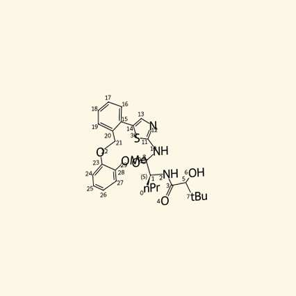 CCC[C@H](NC(=O)C(O)C(C)(C)C)C(=O)Nc1ncc(-c2ccccc2COc2ccccc2OC)s1